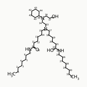 CCCCCCCCNC(=O)CCCCCN(CCCCCC(O)NCCCCCCCC)CCN(CCO)C1CCCCC1